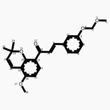 COCOc1cccc(C=CC(=O)c2ccc(OC)c3c2OC(C)(C)C=C3)c1